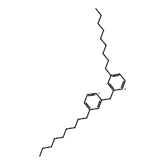 CCCCCCCCCc1cc[c]c(Cc2[c]ccc(CCCCCCCCC)c2)c1